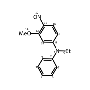 CCN(c1ccccc1)c1ccc(N=O)c(OC)c1